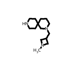 CN1CC(CN2CCCC3(CCNCC3)C2)C1